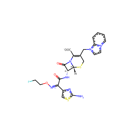 Nc1nc(/C(=N/OCCF)C(=O)N[C@@H]2C(=O)N3C(C(=O)[O-])=C(Cn4cc[n+]5ccccc45)CS[C@H]23)cs1